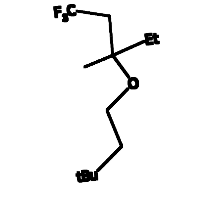 CCC(C)(CC(F)(F)F)OCCC(C)(C)C